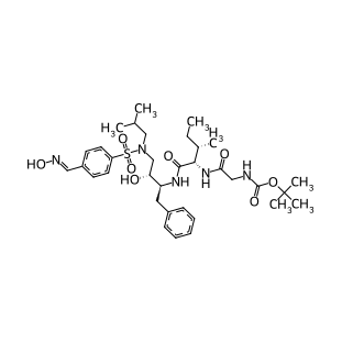 CC[C@H](C)[C@H](NC(=O)CNC(=O)OC(C)(C)C)C(=O)N[C@@H](Cc1ccccc1)[C@H](O)CN(CC(C)C)S(=O)(=O)c1ccc(C=NO)cc1